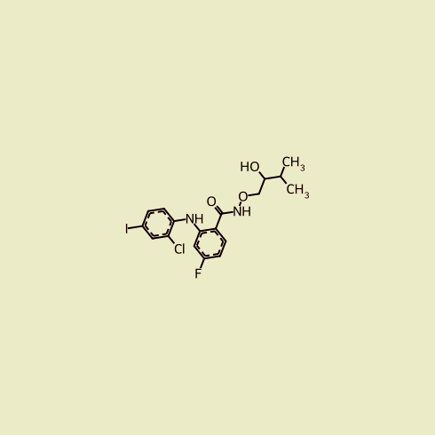 CC(C)C(O)CONC(=O)c1ccc(F)cc1Nc1ccc(I)cc1Cl